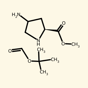 CC(C)(C)OC=O.COC(=O)[C@@H]1CC(N)CN1